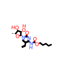 C=Cc1cn([C@@H]2O[C@H](C)[C@@H](O)[C@H]2O)c(=O)nc1NC(=O)OCCCCC